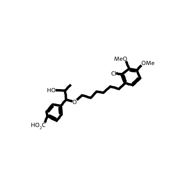 COc1ccc(CCCCCCOC(c2ccc(C(=O)O)cc2)C(C)O)c(Cl)c1OC